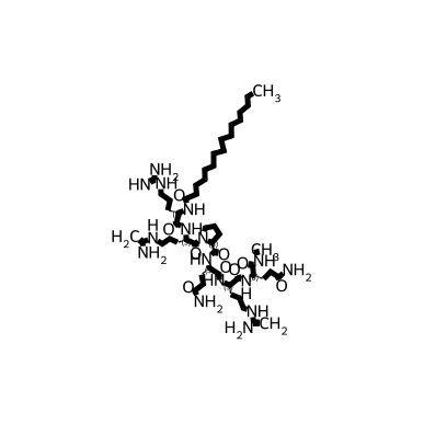 C=C(N)NCCC[C@H](NC(=O)[C@H](CCC(N)=O)NC(=O)[C@@H]1CCCN1C(=O)[C@H](CCCNC(=C)N)NC(=O)[C@H](CCCNC(=N)N)NC(=O)CCCCCCCCCCCCCCC)C(=O)N[C@@H](CCC(N)=O)C(=O)NC